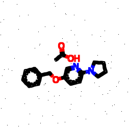 CC(=O)O.c1ccc(COc2ccc(N3CCCC3)nc2)cc1